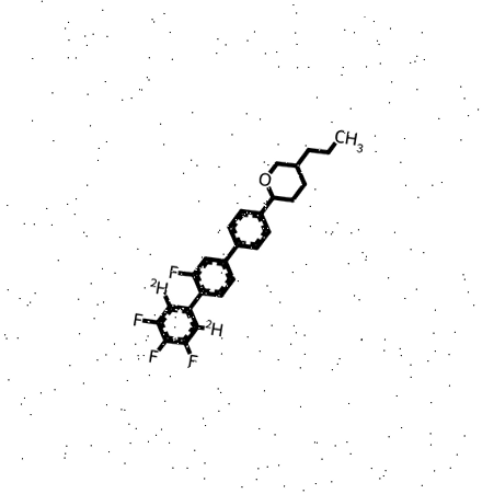 [2H]c1c(F)c(F)c(F)c([2H])c1-c1ccc(-c2ccc(C3CCC(CCC)CO3)cc2)cc1F